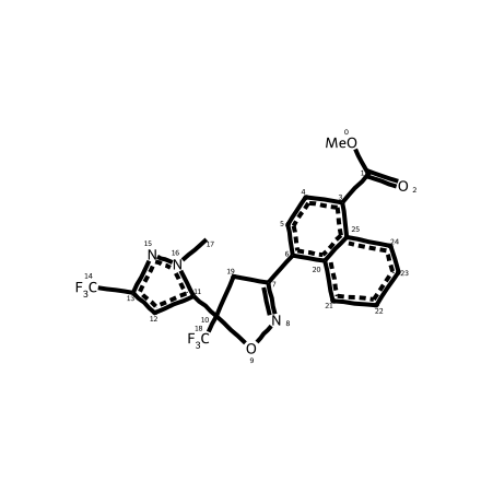 COC(=O)c1ccc(C2=NOC(c3cc(C(F)(F)F)nn3C)(C(F)(F)F)C2)c2ccccc12